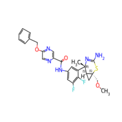 COC[C@]12C[C@H]1[C@](C)(c1cc(NC(=O)c3cnc(OCc4ccccc4)cn3)cc(F)c1F)N=C(N)S2